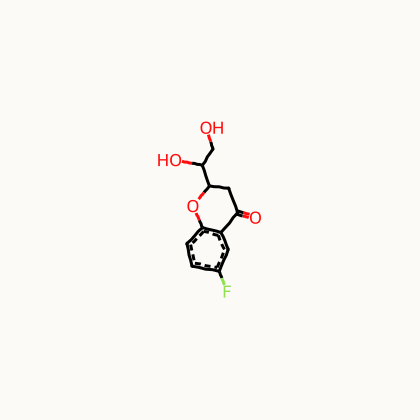 O=C1CC(C(O)CO)Oc2ccc(F)cc21